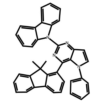 CC1(C)c2ccccc2-c2cccc(-c3nc(-n4c5ccccc5c5ccccc54)nc4ccn(-c5ccccc5)c34)c21